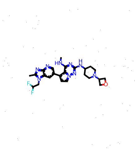 CNc1nc(NC2CCN(C3COC3)CC2)nn2ccc(-c3cnc4nc(C)n(CC(F)F)c4c3)c12